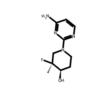 C[C@]1(F)CN(c2nccc(N)n2)CC[C@H]1O